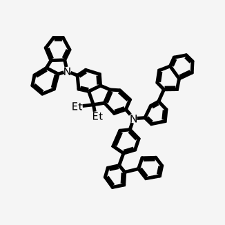 CCC1(CC)c2cc(N(c3ccc(-c4ccccc4-c4ccccc4)cc3)c3cccc(-c4ccc5ccccc5c4)c3)ccc2-c2ccc(-n3c4ccccc4c4ccccc43)cc21